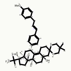 COc1ccc(C/C=C/c2ccc([C@H]3C[C@@]4(C)[C@@H](CC[C@@]4(O)C(F)(F)C(F)(F)F)[C@@H]4CC[C@@]5(O)CC6(CCC5=C43)OCC(C)(C)CO6)cc2)cc1